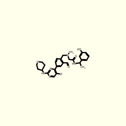 CC(NC(=O)CN(C)Cc1ccc(-c2nc(NC3CCOCC3)ncc2Cl)cc1C=O)c1cccc(O)c1